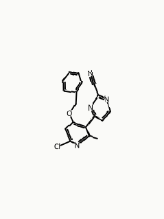 Cc1nc(Cl)cc(OCc2ccccc2)c1-c1ccnc(C#N)n1